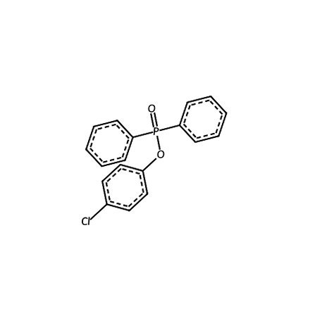 O=P(Oc1ccc(Cl)cc1)(c1ccccc1)c1ccccc1